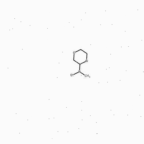 CCN(C)C1COCC[N]1